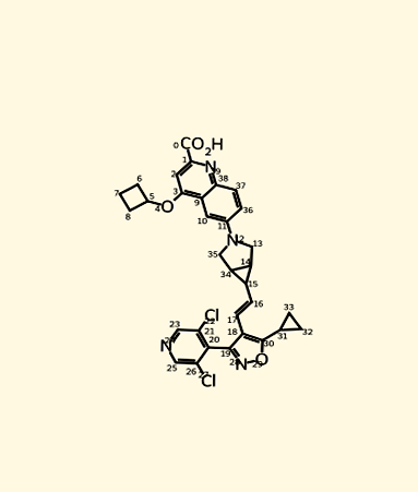 O=C(O)c1cc(OC2CCC2)c2cc(N3CC4C(C=Cc5c(-c6c(Cl)cncc6Cl)noc5C5CC5)C4C3)ccc2n1